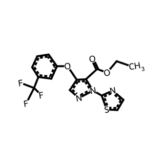 CCOC(=O)c1c(Oc2cccc(C(F)(F)F)c2)cnn1-c1nccs1